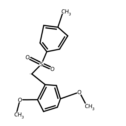 COc1ccc(OC)c([CH]S(=O)(=O)c2ccc(C)cc2)c1